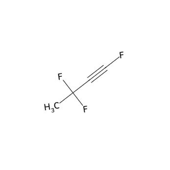 CC(F)(F)C#CF